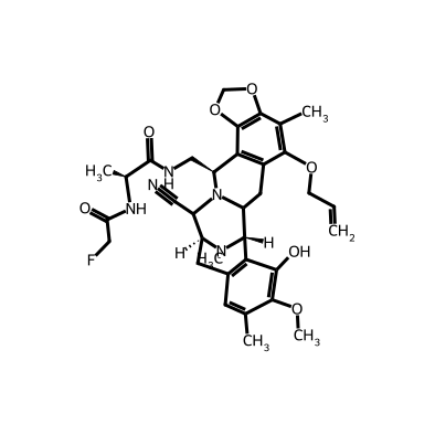 C=CCOc1c(C)c2c(c3c1CC1[C@@H]4c5c(cc(C)c(OC)c5O)C[C@@H](C(C#N)N1[C@H]3CNC(=O)[C@H](C)NC(=O)CF)N4C)OCO2